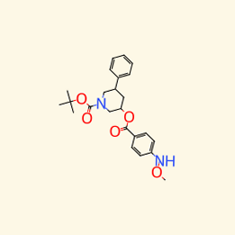 CONc1ccc(C(=O)OC2CC(c3ccccc3)CN(C(=O)OC(C)(C)C)C2)cc1